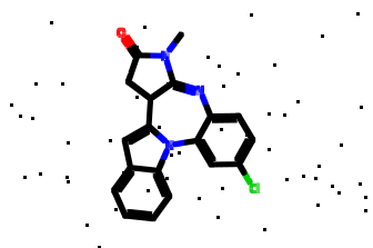 CN1C(=O)CC2C1=Nc1ccc(Cl)cc1-n1c2cc2ccccc21